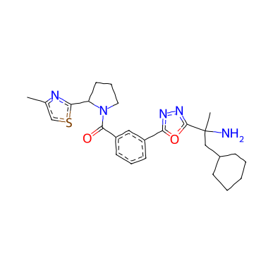 Cc1csc(C2CCCN2C(=O)c2cccc(-c3nnc(C(C)(N)CC4CCCCC4)o3)c2)n1